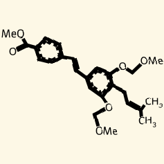 COCOc1cc(C=Cc2ccc(C(=O)OC)cc2)cc(OCOC)c1CC=C(C)C